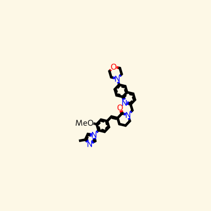 COc1cc(/C=C2\CCCN(Cc3ccc4cc(N5CCOCC5)ccc4n3)C2=O)ccc1-n1cnc(C)c1